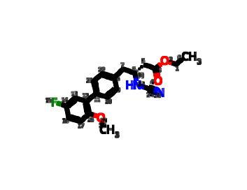 CCOC(=O)C[C@@H](Cc1ccc(-c2cc(F)ccc2OC)cc1)NC#N